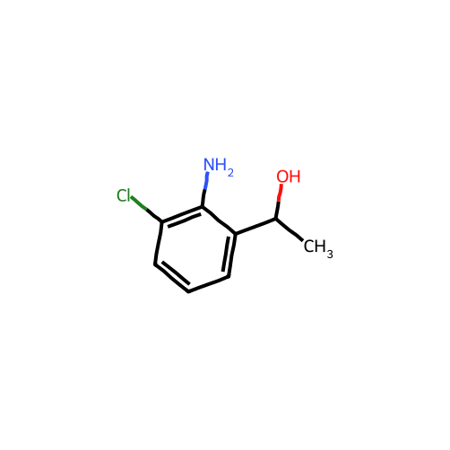 CC(O)c1cccc(Cl)c1N